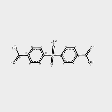 O=C(O)c1ccc(S(=O)(=O)c2ccc(C(=O)O)cc2)cc1.[Fe]